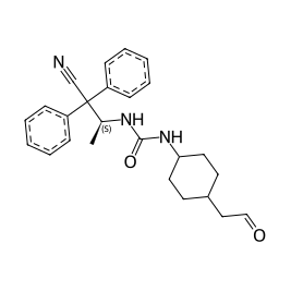 C[C@H](NC(=O)NC1CCC(CC=O)CC1)C(C#N)(c1ccccc1)c1ccccc1